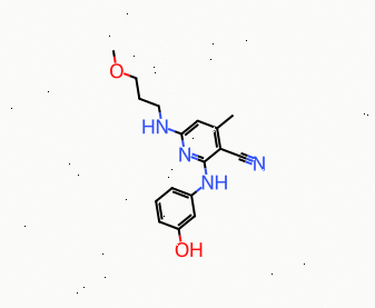 COCCCNc1cc(C)c(C#N)c(Nc2cccc(O)c2)n1